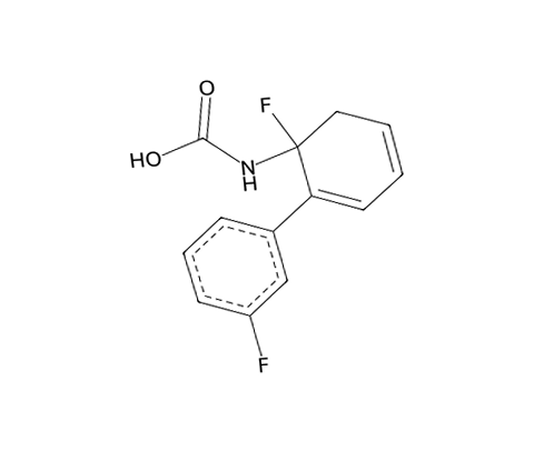 O=C(O)NC1(F)CC=CC=C1c1cccc(F)c1